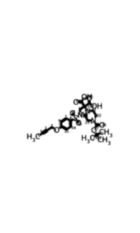 CC#CCOc1ccc(S(=O)(=O)NCC(C(=O)O)(C(=O)O)N2CCN(C(=O)OC(C)(C)C)CC2)cc1